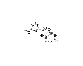 COc1cccc(C(=O)NC2CCC(=O)NC2=O)n1